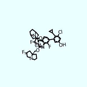 C=C(F)C(=O)N1C2CCC1CN(c1nc(OC[C@@]34CCCN3C[C@H](F)C4)nc3c(F)c(-c4cc(O)cc(Cl)c4C4CC4)ccc13)C2